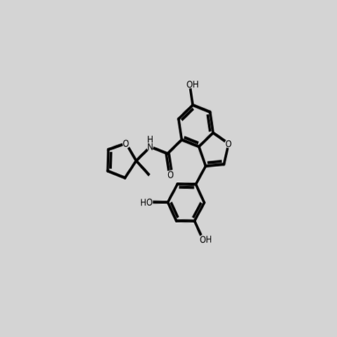 CC1(NC(=O)c2cc(O)cc3occ(-c4cc(O)cc(O)c4)c23)CC=CO1